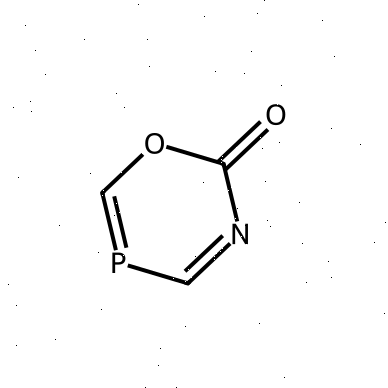 O=c1ncpco1